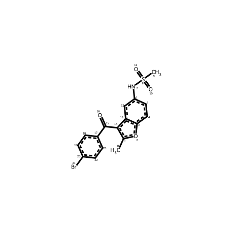 Cc1oc2ccc(NS(C)(=O)=O)cc2c1C(=O)c1ccc(Br)cc1